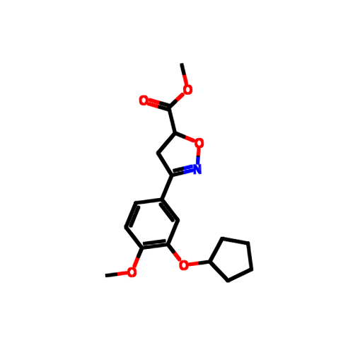 COC(=O)C1CC(c2ccc(OC)c(OC3CCCC3)c2)=NO1